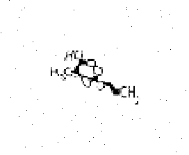 C=CCOC(=O)O[C@H](C)C(=O)O